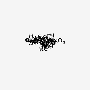 C[C@@H]1[C@H](OP(=S)(OCCC#N)OC[C@H]2O[C@@H](n3cnc4c(NC(=O)c5ccccc5)ncnc43)[C@H](F)[C@@H]2OP(=O)(O)OCCC#N)[C@@H](CO)O[C@H]1n1nnc2c([N+](=O)[O-])cccc21